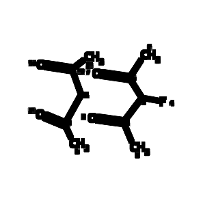 CC(=O)C(F)C(C)=O.CC(=O)CC(C)=O